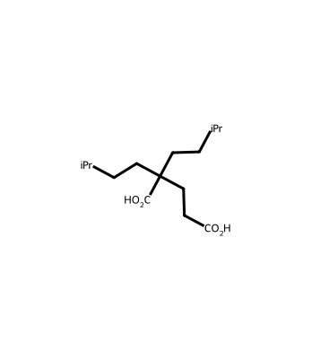 CC(C)CCC(CCC(=O)O)(CCC(C)C)C(=O)O